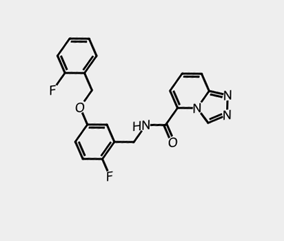 O=C(NCc1cc(OCc2ccccc2F)ccc1F)c1cccc2nncn12